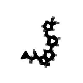 O=C(NC1CC1)c1n[nH]c2ccc(-c3cncc(CN4CCC(F)(F)C4)c3)cc12